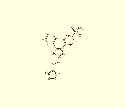 NS(=O)(=O)c1ccc(-c2oc(CCc3ccc[nH]3)nc2-c2ccccc2)cc1